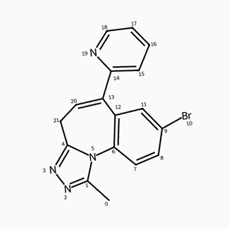 Cc1nnc2n1-c1ccc(Br)cc1C(c1ccccn1)=CC2